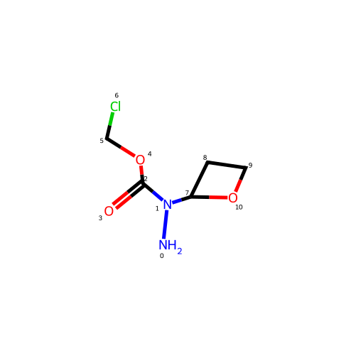 NN(C(=O)OCCl)C1CCO1